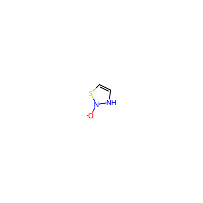 [O]N1NC=CS1